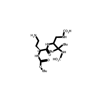 CC(C)(C)OC(=O)N[C@@H](CCN)C(=O)NC(CNC(=O)O)C(NC(=O)O)(C(C)(C)C)C(C)(C)C